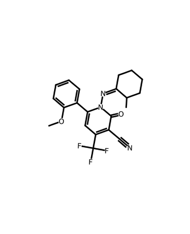 COc1ccccc1-c1cc(C(F)(F)F)c(C#N)c(=O)n1/N=C1/CCCCC1C